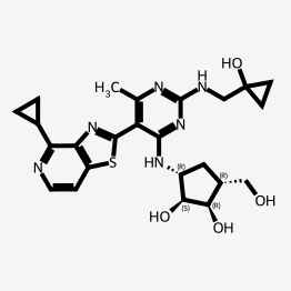 Cc1nc(NCC2(O)CC2)nc(N[C@@H]2C[C@H](CO)[C@@H](O)[C@H]2O)c1-c1nc2c(C3CC3)nccc2s1